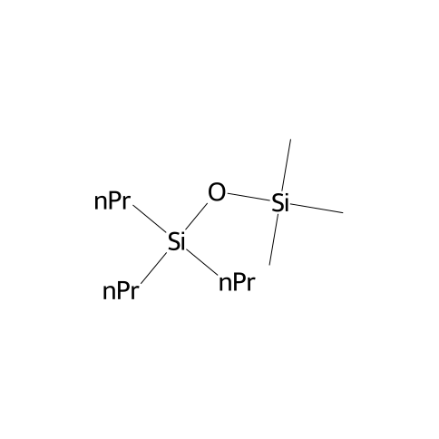 CCC[Si](CCC)(CCC)O[Si](C)(C)C